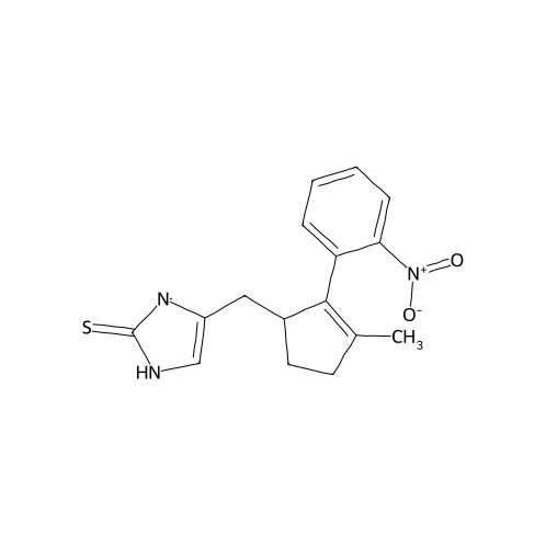 CC1=C(c2ccccc2[N+](=O)[O-])C(CC2=CNC(=S)[N]2)CC1